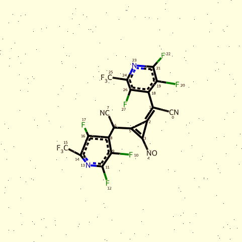 N#C/C(=C1C(N=O)=C\1C(C#N)c1c(F)c(F)nc(C(F)(F)F)c1F)c1c(F)c(F)nc(C(F)(F)F)c1F